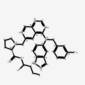 CCCC(F)OC(=O)[C@H]1CCCN1Cc1cc2c(N(Cc3cccc(F)c3)c3ccc4[nH]ncc4c3)ncnc2cn1